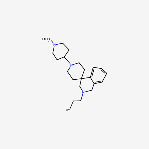 CCOC(=O)N1CCC(N2CCC3(CC2)CN(CCC(C)C)Cc2ccccc23)CC1